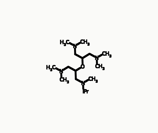 CC(C)N(C)CC(CN(C)C)OC(CN(C)C)CN(C)C